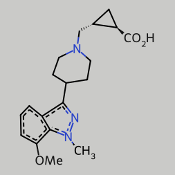 COc1cccc2c(C3CCN(C[C@@H]4C[C@H]4C(=O)O)CC3)nn(C)c12